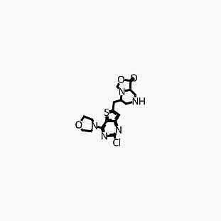 O=C1OCN2C(Cc3cc4nc(Cl)nc(N5CCOCC5)c4s3)CNCC12